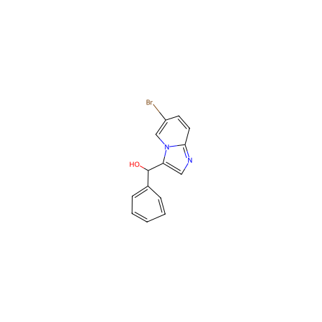 OC(c1ccccc1)c1cnc2ccc(Br)cn12